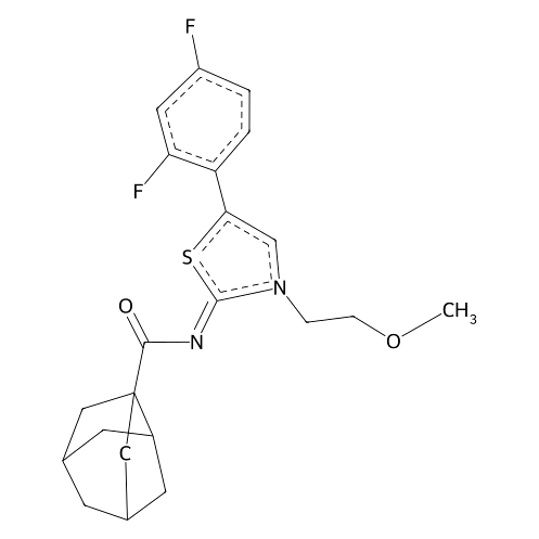 COCCn1cc(-c2ccc(F)cc2F)sc1=NC(=O)C12CC3CC(CC1C3)C2